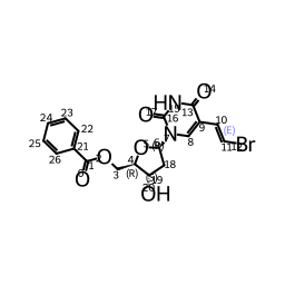 O=C(OC[C@H]1O[C@@H](n2cc(/C=C/Br)c(=O)[nH]c2=O)C[C@@H]1O)c1ccccc1